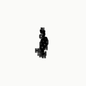 [2H]C([2H])([2H])OC[C@@]1(O)CC[C@@]2(C)[C@@H](CC[C@@H]3[C@@H]2CC[C@]2(C)[C@@H](C(=O)Cn4ccnc4)CC[C@@H]32)C1